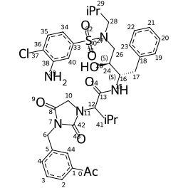 CC(=O)c1cccc(CN2C(=O)CN(C(C(=O)N[C@@H](Cc3ccccc3)[C@@H](O)CN(CC(C)C)S(=O)(=O)c3ccc(Cl)c(N)c3)C(C)C)C2=O)c1